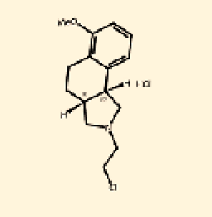 COc1cccc2c1CC[C@H]1CN(CCCl)C[C@@H]21.Cl